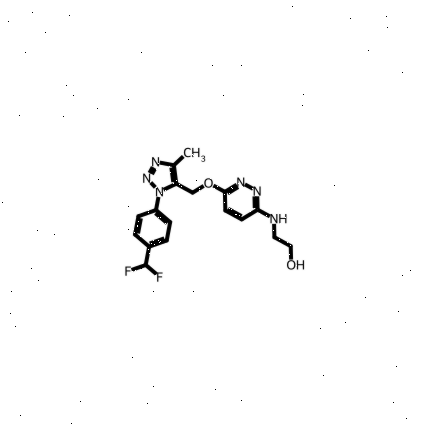 Cc1nnn(-c2ccc(C(F)F)cc2)c1COc1ccc(NCCO)nn1